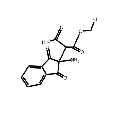 CCOC(=O)C(C(C)=O)C1(N)C(=O)c2ccccc2C1=O